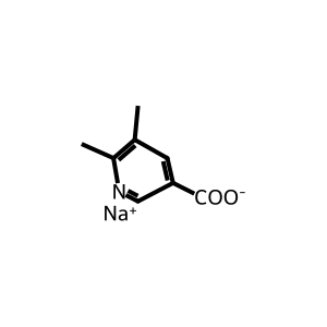 Cc1cc(C(=O)[O-])cnc1C.[Na+]